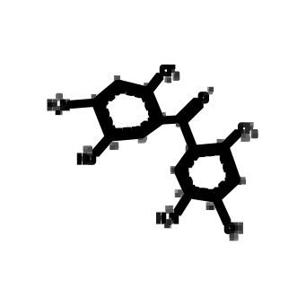 Nc1cc(C(F)(F)F)c(C(=O)c2cc(N)c(O)cc2C(F)(F)F)cc1O